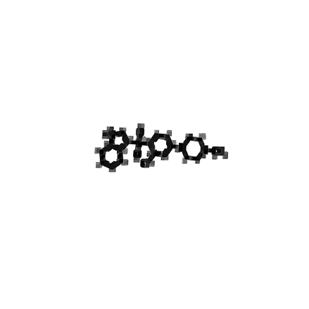 CN1CCN(c2ccc(S(=O)(=O)c3c[nH]c4ccccc34)c(Cl)c2)CC1